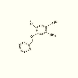 COc1cc(C#N)c(N)cc1OCc1ccccc1